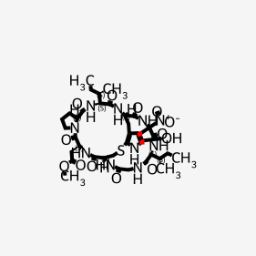 CC[C@H](C)[C@@H]1NC(=O)CNC(=O)[C@@H]2Cc3c([nH]c4cc(O)c([N+](=O)[O-])cc34)SC[C@H](NC(=O)CNC1=O)C(=O)N[C@@H](CC(=O)OC)C(=O)N1CCC[C@H]1C(=O)N[C@@H]([C@@H](C)CC)C(=O)N2